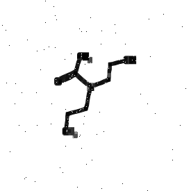 CCCN(CCO)C(C)=O